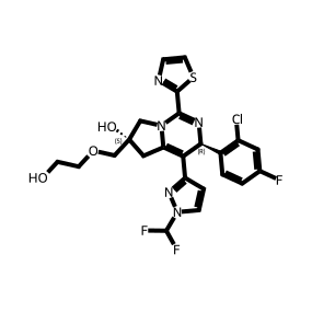 OCCOC[C@]1(O)CC2=C(c3ccn(C(F)F)n3)[C@H](c3ccc(F)cc3Cl)N=C(c3nccs3)N2C1